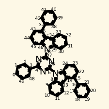 c1ccc(-c2nc(-n3c4ccccc4c4c(-c5ccccc5)cccc43)nc(-n3c4ccccc4c4c(-c5ccccc5)cccc43)n2)cc1